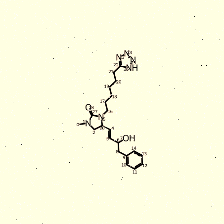 CN1C[C@H](C=CC(O)Cc2ccccc2)N(CCCCCCc2nnn[nH]2)C1=O